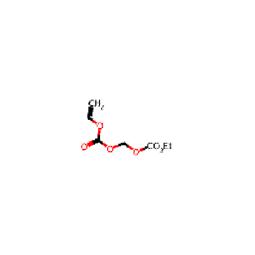 C=COC(=O)OCOC(=O)OCC